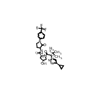 CC(C)(C)[C@@H](C(=O)N1C[C@H](O)C[C@H]1C(=O)NC1CCN(c2ccc(C(F)(F)F)cc2)C1=O)n1cc(C2CC2)nn1